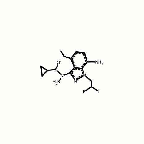 BN(c1nn(CC(F)F)c2c(N)ccc(CC)c12)[S+]([O-])C1CC1